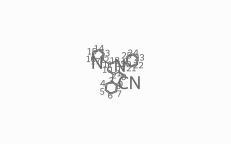 C=C1C(c2ccccc2C#N)=CC(c2ccccn2)=CN1c1ccccc1